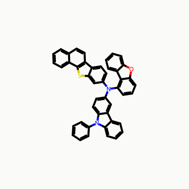 c1ccc(-n2c3ccccc3c3cc(N(c4ccc5c(c4)sc4c6ccccc6ccc54)c4cccc5oc6ccccc6c45)ccc32)cc1